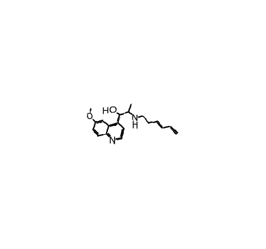 C=C/C=C/CCNC(C)C(O)c1ccnc2ccc(OC)cc12